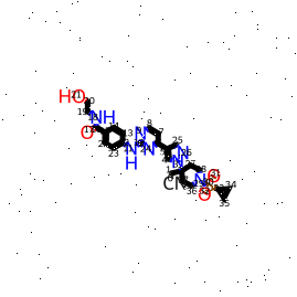 N#CCC1(n2cc(-c3ccnc(Nc4ccc(C(=O)NCCO)cc4)n3)cn2)CCN(S(=O)(=O)C2CC2)CC1